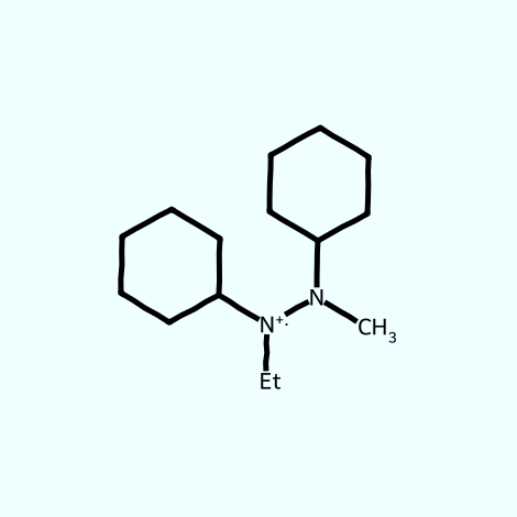 CC[N+](C1CCCCC1)N(C)C1CCCCC1